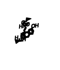 C[C@H]1[C@H]2Cc3ccc(O)cc3[C@@]1(CCNS(=O)(=O)C1CC1)CCN2CC1CC1